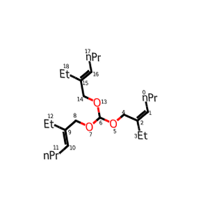 CCCC=C(CC)COC(OCC(=CCCC)CC)OCC(=CCCC)CC